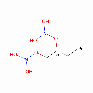 CC(C)C[C@H](CON(O)O)ON(O)O